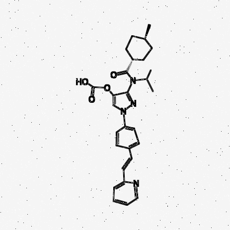 CC(C)N(c1nn(-c2ccc(C=Cc3ccccn3)cc2)cc1OC(=O)O)C(=O)[C@H]1CC[C@H](C)CC1